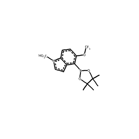 CC1(C)OB(c2c(OC(F)(F)F)ccc3c2ccn3C(=O)O)OC1(C)C